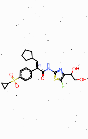 O=C(Nc1nc(C(O)CO)c(F)s1)/C(=C/C1CCCC1)c1ccc(S(=O)(=O)C2CC2)cc1